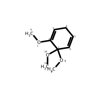 COC1=C[CH]C=CC1(OC)OC